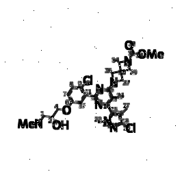 CNC[C@@H](O)COc1ccc(Cl)c(-c2nc(-c3c(C)c(Cl)nn3C)c(C)c(N3CC4(CN(C(=O)OC)C4)C3)n2)c1